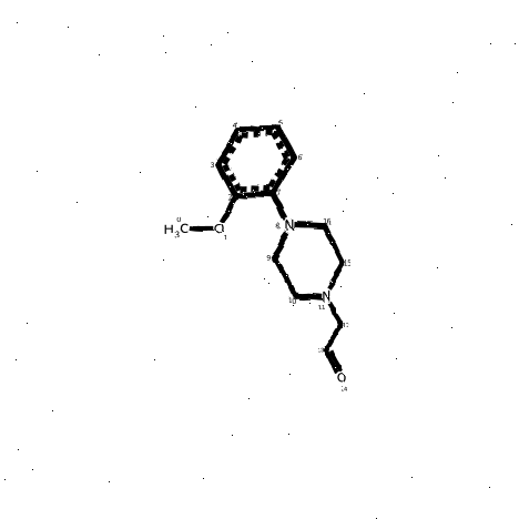 COc1ccccc1N1CCN(C[C]=O)CC1